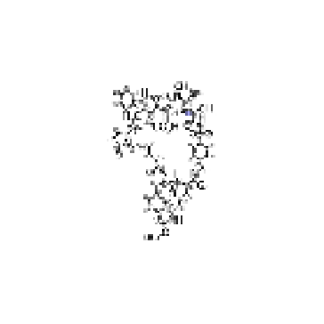 C/C(=C\[C@H](C(C)C)N(C)C(=O)[C@@H](NC(=O)[C@@H](N(C)C(=O)O)C(C)(C)c1ccccc1)C(C)(C)C)C(=O)NS(=O)(=O)c1ccc(CNC(=O)[C@@H](CCCCNC(=O)OC(C)(C)C)NC(=O)[C@@H](Cc2ccccc2)NC(=O)CCCCCN2C(=O)C=CC2=O)cc1